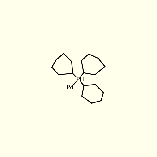 [Pd][PH](C1CCCCC1)(C1CCCCC1)C1CCCCC1